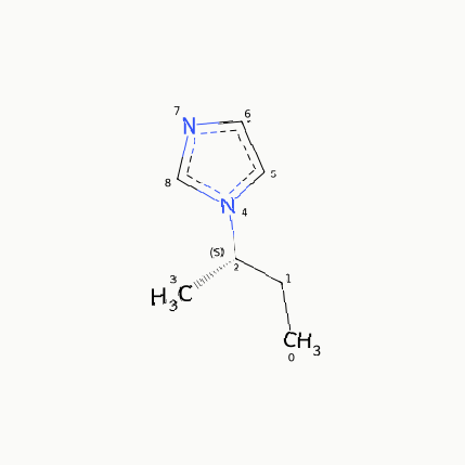 CC[C@H](C)n1c[c]nc1